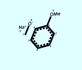 COc1ccccc1.C[O-].[Na+]